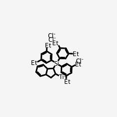 CCc1cc(CC)cc([Si](c2cc(CC)cc(CC)c2)(c2cc(CC)cc(CC)c2)C2[CH]([Ti+3])CC3C=CC=CC32)c1.[Cl-].[Cl-].[Cl-]